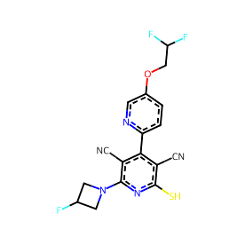 N#Cc1c(S)nc(N2CC(F)C2)c(C#N)c1-c1ccc(OCC(F)F)cn1